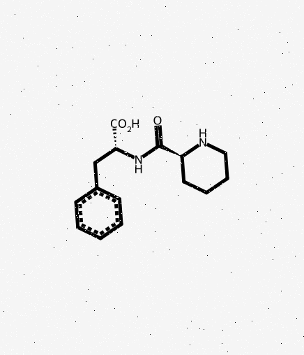 O=C(N[C@H](Cc1ccccc1)C(=O)O)[C@@H]1CCCCN1